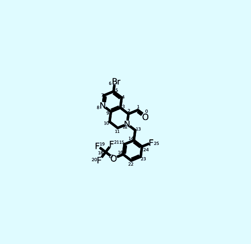 O=CC1c2cc(Br)cnc2CCN1Cc1cc(OC(F)(F)F)ccc1F